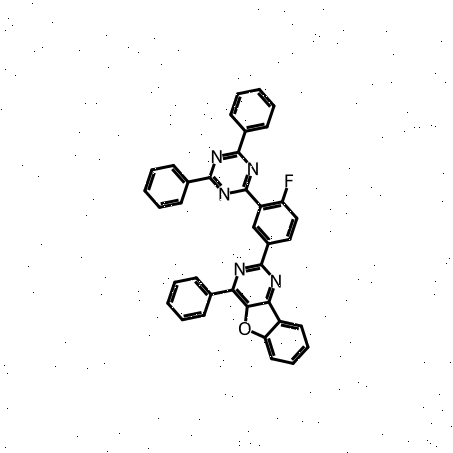 Fc1ccc(-c2nc(-c3ccccc3)c3oc4ccccc4c3n2)cc1-c1nc(-c2ccccc2)nc(-c2ccccc2)n1